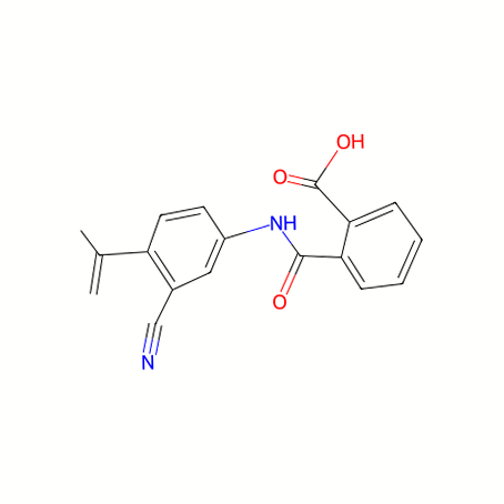 C=C(C)c1ccc(NC(=O)c2ccccc2C(=O)O)cc1C#N